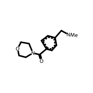 CNCc1ccc(C(=O)N2C[CH]OCC2)cc1